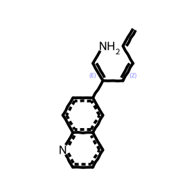 C=C/C=C\C(=C/N)c1ccc2ncccc2c1